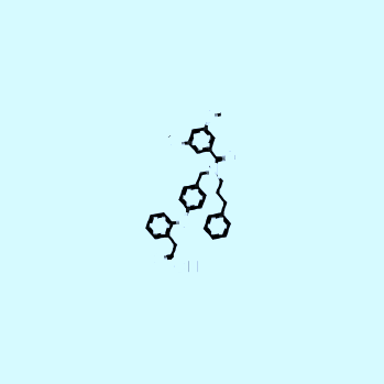 COc1cc(OC)cc(C(=O)N(CCCc2ccccc2)Cc2ccc(Oc3ccccc3CC(=O)O)cc2)c1